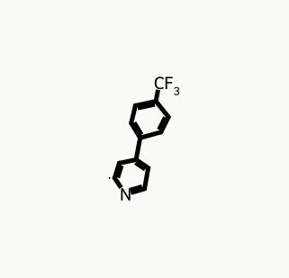 FC(F)(F)c1ccc(-c2c[c]ncc2)cc1